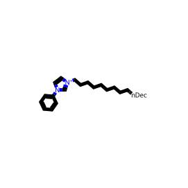 CCCCCCCCCCCCCCCCCCC[n+]1ccn(-c2ccccc2)c1